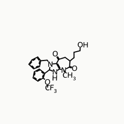 CN1C(=O)C(CCCO)CC(=O)C2=C1NC(c1ccccc1OC(F)(F)F)N2Cc1ccccc1